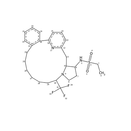 CCS(=O)(=O)NC1CCN2C1Cc1cccc(n1)-c1ccccc1CCCCCCC2C(F)(F)F